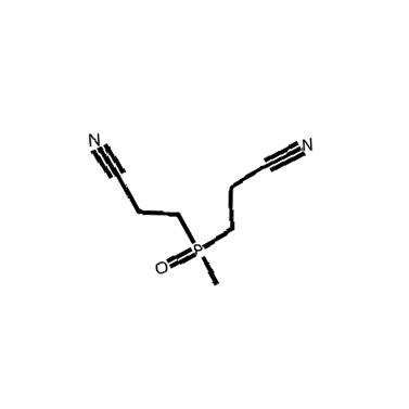 CP(=O)(CCC#N)CCC#N